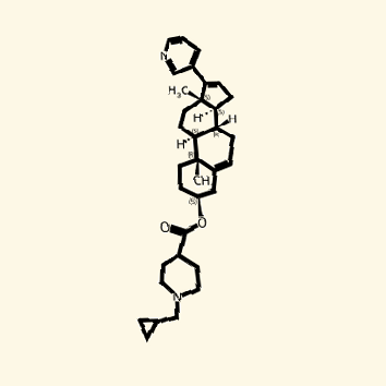 C[C@]12CC[C@H](OC(=O)C3CCN(CC4CC4)CC3)CC1=CC[C@@H]1[C@@H]2CC[C@]2(C)C(c3cccnc3)=CC[C@@H]12